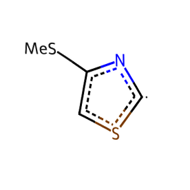 CSc1cs[c]n1